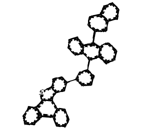 c1cc(-c2ccc3sc4c5ccccc5c5ccccc5c4c3c2)cc(-c2c3ccccc3c(-c3ccc4ccccc4c3)c3ccccc23)c1